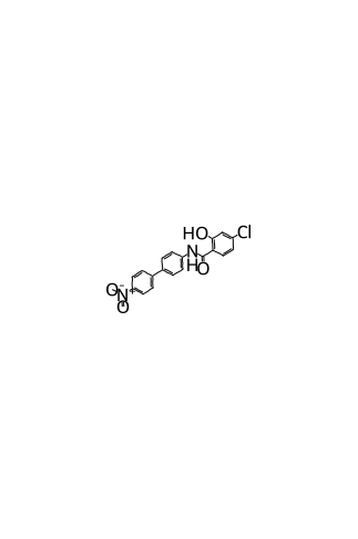 O=C(Nc1ccc(-c2ccc([N+](=O)[O-])cc2)cc1)c1ccc(Cl)cc1O